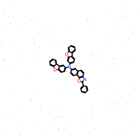 c1ccc(-c2nc3ccc4cc(N(c5ccc6c(c5)oc5ccccc56)c5ccc6oc7ccccc7c6c5)ccc4c3o2)cc1